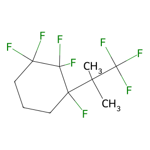 CC(C)(C(F)(F)F)C1(F)CCCC(F)(F)C1(F)F